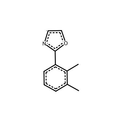 Cc1cccc(-c2n[c]co2)c1C